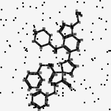 CCn1ncc2c(NC3CCOCC3)c(C3=NOC(C(=O)NCc4ccncc4)(C(=O)NCc4ccncc4)C3)cnc21